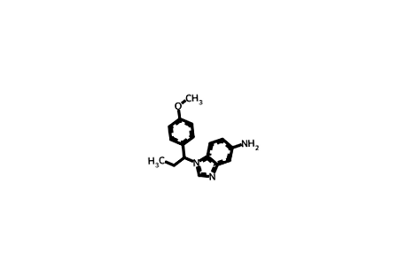 CCC(c1ccc(OC)cc1)n1cnc2cc(N)ccc21